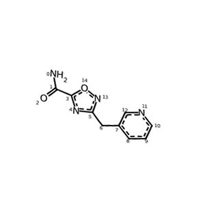 NC(=O)c1nc(Cc2cccnc2)no1